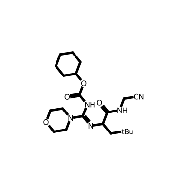 CC(C)(C)CC(/N=C(\NC(=O)OC1CCCCC1)N1CCOCC1)C(=O)NCC#N